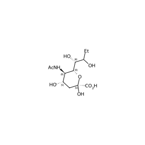 CCC(O)[C@@H](O)[C@@H]1O[C@](O)(C(=O)O)C[C@H](O)[C@H]1NC(C)=O